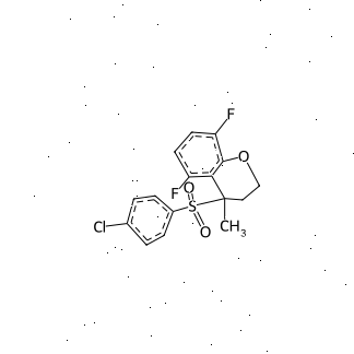 CC1(S(=O)(=O)c2ccc(Cl)cc2)CCOc2c(F)ccc(F)c21